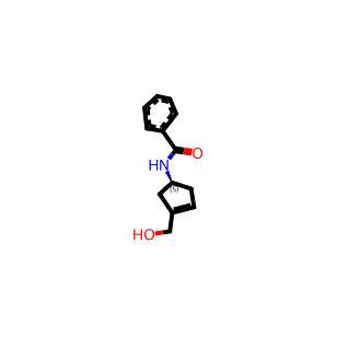 O=C(N[C@H]1CC=C(CO)C1)c1ccccc1